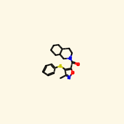 Cc1noc(C(=O)N2CCC3CCCCC3C2)c1Sc1ccccc1